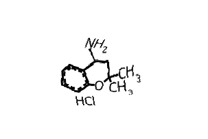 CC1(C)C[C@H](N)c2ccccc2O1.Cl